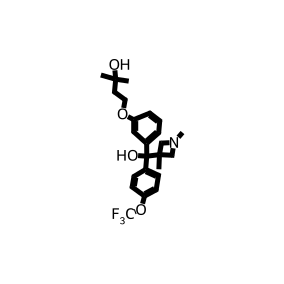 CN1CC(C)(C(O)(c2ccc(OC(F)(F)F)cc2)c2cccc(OCCC(C)(C)O)c2)C1